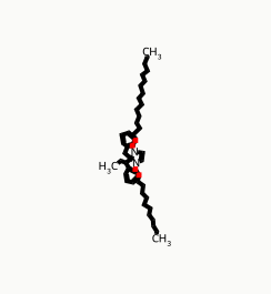 CCCCCCCCCCCCCCCCCN1C=CN(CCCCCCCCCCCCC)C1(Cc1ccccc1)C(CC)c1ccccc1